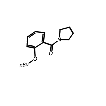 CCCCOc1ccccc1C(=O)N1CCCC1